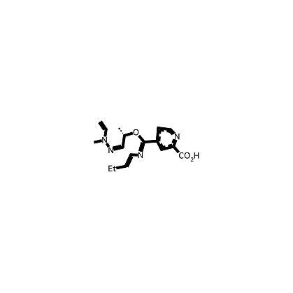 C=CN(C)/N=C\[C@H](C)O/C(=N\C=C\CC)c1ccnc(C(=O)O)c1